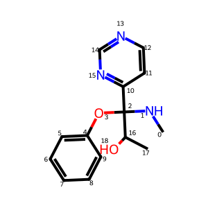 CNC(Oc1ccccc1)(c1ccncn1)C(C)O